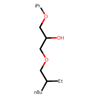 CCCCC(CC)COCC(O)COC(C)C